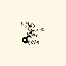 CCCCCCC(OC(N)=O)c1nc(-c2ccccc2OC)c[nH]1